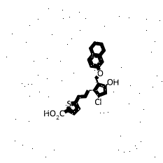 O=C(O)c1ccc(CCC[C@@H]2[C@@H](COc3ccc4c(c3)CCCC4)[C@H](O)C[C@@H]2Cl)s1